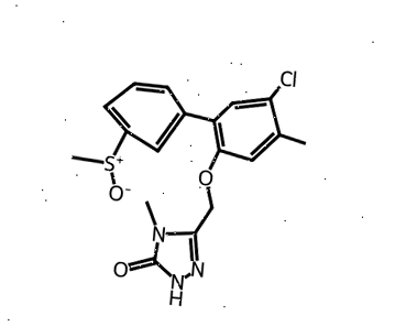 Cc1cc(OCc2n[nH]c(=O)n2C)c(-c2cccc([S+](C)[O-])c2)cc1Cl